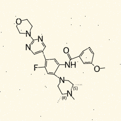 COc1cccc(C(=O)Nc2cc(-c3cnc(N4CCOCC4)nc3)c(F)cc2N2C[C@@H](C)N(C)[C@@H](C)C2)c1